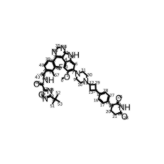 COc1cc2c(cc1N1CCN(C3CC(c4ccc([C@H]5CCC(=O)NC5=O)cc4)C3)CC1)[nH]c1ncnc(-c3ccc([C@@H](C)NC(=O)c4nc(C(C)(C)C)no4)c(C)c3F)c12